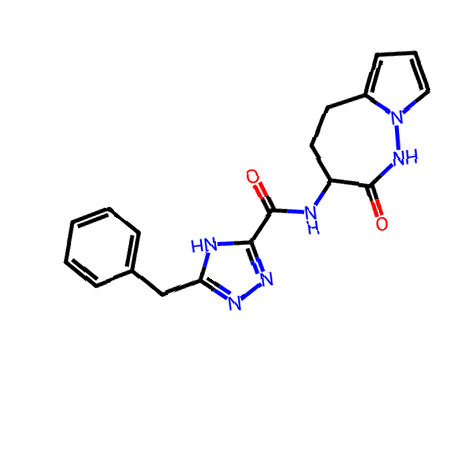 O=C(NC1CCc2cccn2NC1=O)c1nnc(Cc2ccccc2)[nH]1